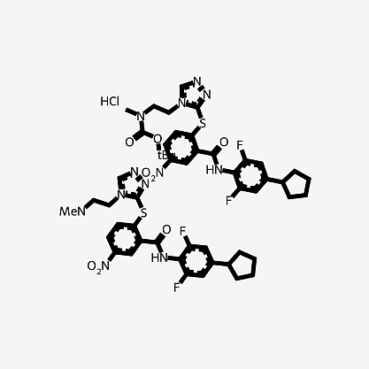 CN(CCn1cnnc1Sc1ccc([N+](=O)[O-])cc1C(=O)Nc1c(F)cc(C2CCCC2)cc1F)C(=O)OC(C)(C)C.CNCCn1cnnc1Sc1ccc([N+](=O)[O-])cc1C(=O)Nc1c(F)cc(C2CCCC2)cc1F.Cl